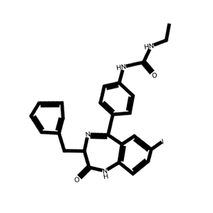 CCNC(=O)Nc1ccc(C2=NC(Cc3ccccc3)C(=O)Nc3ccc(I)cc32)cc1